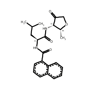 CC(C)C[C@H](NC(=O)c1cccc2ccccc12)C(=O)N[C@@H]1C(=O)CO[C@@H]1C